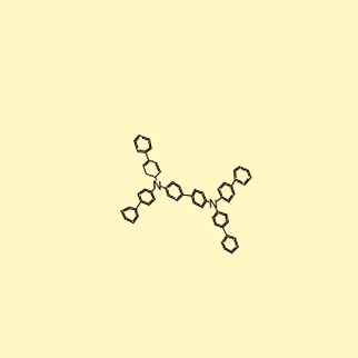 C1=CC(N(c2ccc(-c3ccccc3)cc2)c2ccc(-c3ccc(N(c4ccc(-c5ccccc5)cc4)c4ccc(-c5ccccc5)cc4)cc3)cc2)CC=C1c1ccccc1